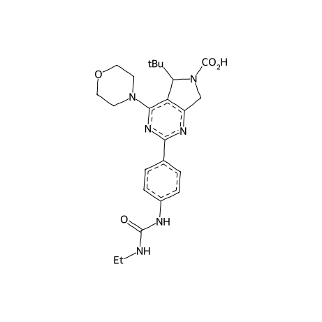 CCNC(=O)Nc1ccc(-c2nc3c(c(N4CCOCC4)n2)C(C(C)(C)C)N(C(=O)O)C3)cc1